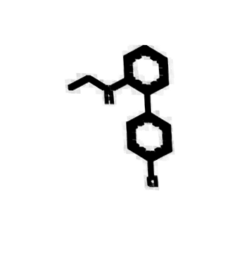 CCNc1ccccc1-c1ccc(Cl)cc1